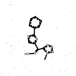 Cn1nnnc1/C(=N/O)c1csc(-c2ccccc2)n1